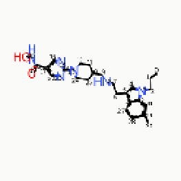 CCCn1cc(CCNCC2CCN(c3ncc(C(=O)NO)cn3)CC2)c2ccc(C)cc21